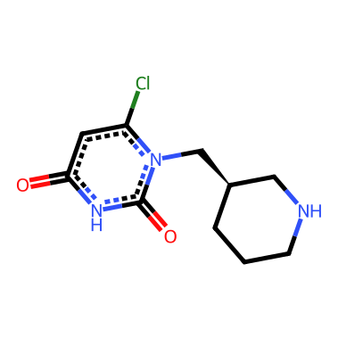 O=c1cc(Cl)n(C[C@@H]2CCCNC2)c(=O)[nH]1